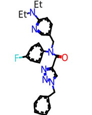 CCN(CC)c1ccc(CN(C(=O)c2cn(Cc3ccccc3)nn2)c2ccc(F)cc2)cn1